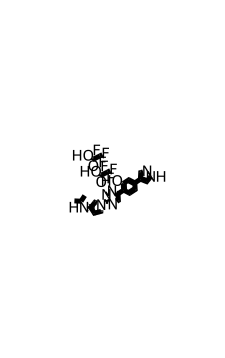 CC(C)N[C@@H]1CCN(c2ncc(-c3ccc(-c4cn[nH]c4)cc3O)nn2)C1.O=C(O)C(F)(F)F.O=C(O)C(F)(F)F